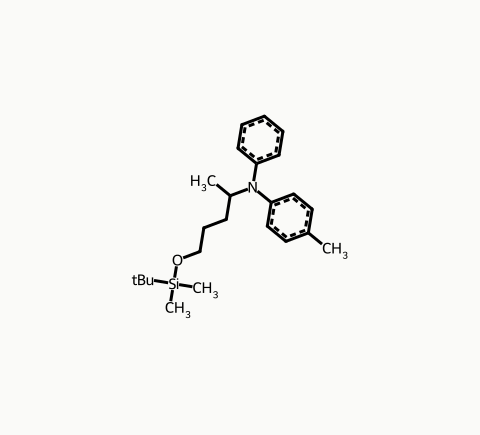 Cc1ccc(N(c2ccccc2)C(C)CCCO[Si](C)(C)C(C)(C)C)cc1